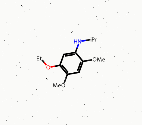 CCOc1cc(NC(C)C)c(OC)cc1OC